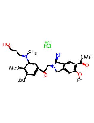 CCOc1cc2c(cc1C(=O)NC)C(=N)N(CC(=O)c1cc(N(C)CCCO)c(OC)c(C(C)(C)C)c1)C2.Cl.Cl